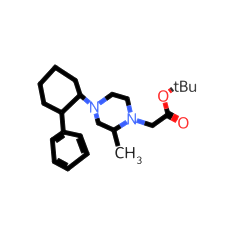 CC1CN(C2CCCCC2c2ccccc2)CCN1CC(=O)OC(C)(C)C